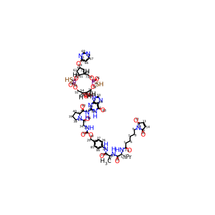 CC(C)[C@H](NC(=O)CCCCCN1C(=O)C=CC1=O)C(=O)N[C@@H](C)C(=O)Nc1ccc(COC(=O)NCC(=O)N2CCCC2C(=O)Nc2nc3c(ncn3[C@@H]3O[C@@H]4CO[P@@](=O)(S)O[C@H]5C[C@H](Oc6ccncn6)C[C@@H]5CO[P@@](=O)(S)O[C@@H]3[C@@H]4O)c(=O)[nH]2)cc1